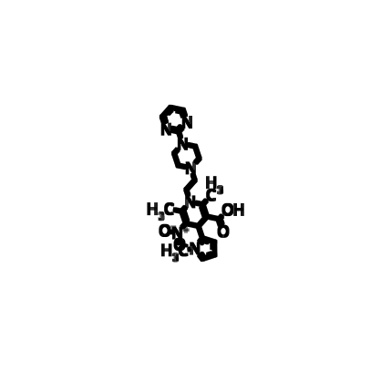 CC1=C(C(=O)O)C(c2cccn2C)C([N+](=O)[O-])=C(C)N1CCN1CCN(c2ncccn2)CC1